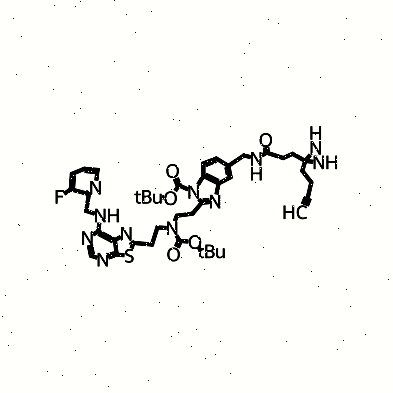 C#CCCC1(CCC(=O)NCc2ccc3c(c2)nc(CCN(CCc2nc4c(NCc5ncccc5F)ncnc4s2)C(=O)OC(C)(C)C)n3C(=O)OC(C)(C)C)NN1